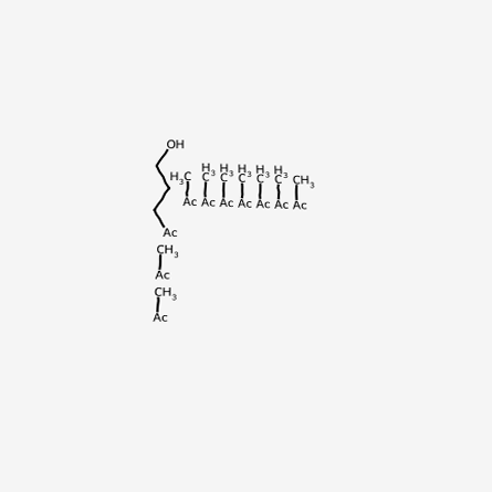 CC(=O)CCCO.CC(C)=O.CC(C)=O.CC(C)=O.CC(C)=O.CC(C)=O.CC(C)=O.CC(C)=O.CC(C)=O.CC(C)=O